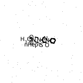 CCCCCCCSc1c(N2CCN(S(C)(=O)=O)CC2)cnn(-c2ccccc2)c1=O